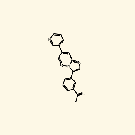 CC(=O)c1cccc(-c2cnc3cc(-c4cccnc4)cnn23)c1